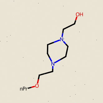 CCCOCCN1CCN(CCO)CC1